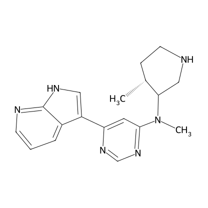 C[C@@H]1CCNCC1N(C)c1cc(-c2c[nH]c3ncccc23)ncn1